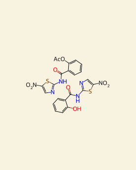 CC(=O)Oc1ccccc1C(=O)Nc1ncc([N+](=O)[O-])s1.O=C(Nc1ncc([N+](=O)[O-])s1)c1ccccc1O